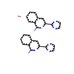 Nc1nc(-c2ncc[nH]2)cc2ccccc12.Nc1nc(-c2ncc[nH]2)cc2ccccc12.O=[N+]([O-])[O-].[Cu+]